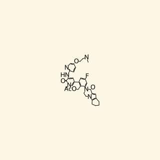 CC(=O)OCc1c(-c2cc(Nc3ccc(OCCN(C)C)cn3)c(=O)n(C)c2)cc(F)cc1N1CCn2c(cc3c2CCCC3)C1=O